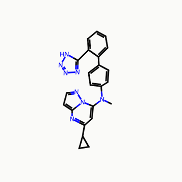 CN(c1ccc(-c2ccccc2-c2nnn[nH]2)cc1)c1cc(C2CC2)nc2ccnn12